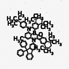 Cc1cc2c3c(c1)N(c1ccc4c(c1)C(c1ccccc1)(c1ccccc1)c1ccccc1-4)c1c(oc4cc5c(cc14)C(C)(C)CCC5(C)C)B3c1cc3c(cc1N2c1ccc(C(C)(C)C)cc1)C(C)(C)CCC3(C)C